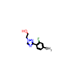 Bc1ccc(-c2ncn(CCO)n2)c(F)c1